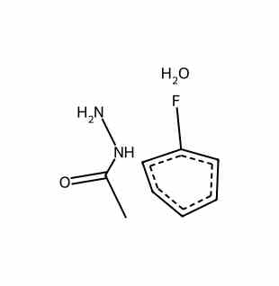 CC(=O)NN.Fc1ccccc1.O